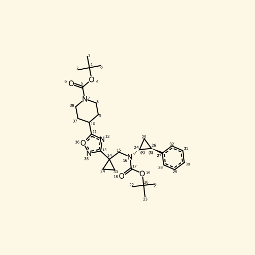 CC(C)(C)OC(=O)N1CCC(c2nc(C3(CN(C(=O)OC(C)(C)C)[C@@H]4C[C@H]4c4ccccc4)CC3)no2)CC1